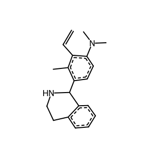 C=Cc1c(N(C)C)ccc(C2NCCc3ccccc32)c1C